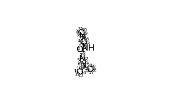 O=C(CCN1CCN(C(c2ccccc2)c2ccccc2)CC1)Nc1ccc(N2CCCCC2)cc1